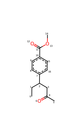 CCC(CC(C)=O)c1ccc(C(=O)OC)cc1